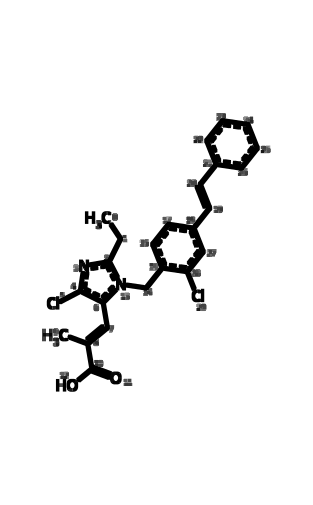 CCc1nc(Cl)c(/C=C(\C)C(=O)O)n1Cc1ccc(/C=C/c2ccccc2)cc1Cl